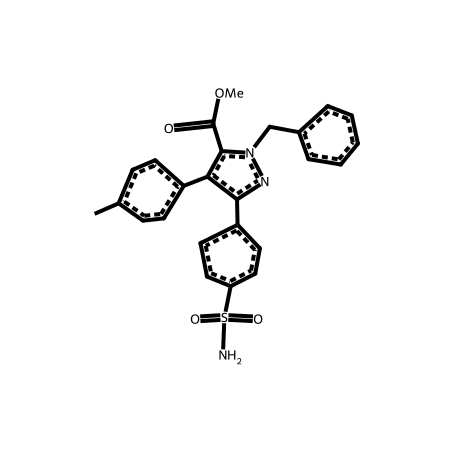 COC(=O)c1c(-c2ccc(C)cc2)c(-c2ccc(S(N)(=O)=O)cc2)nn1Cc1ccccc1